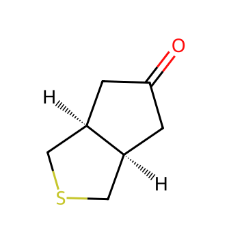 O=C1C[C@H]2CSC[C@H]2C1